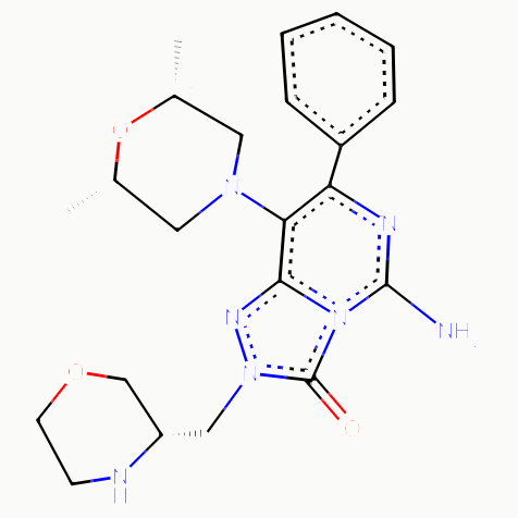 C[C@@H]1CN(c2c(-c3ccccc3)nc(N)n3c(=O)n(C[C@H]4COCCN4)nc23)C[C@H](C)O1